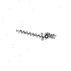 CCC[CH2][Sn]([CH2]CCC)([CH2]CCC)[c]1ccc(C(=O)NCCCOCCOCCOCCCN)cc1